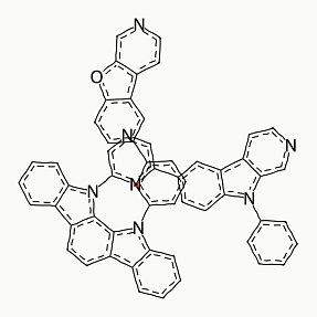 c1ccc(-n2c3ccc(-c4cncc(-n5c6ccccc6c6ccc7c8ccccc8n(-c8cccc(-c9ccc%10oc%11cnccc%11c%10c9)c8)c7c65)n4)cc3c3ccncc32)cc1